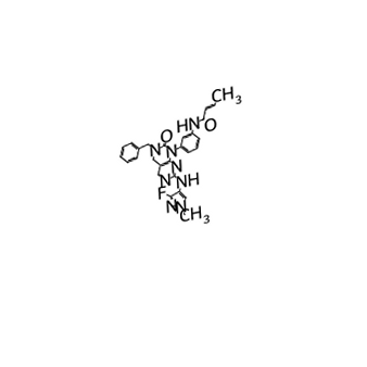 C/C=C/C(=O)Nc1cccc(N2C(=O)N(Cc3ccccc3)Cc3cnc(Nc4cn(C)nc4F)nc32)c1